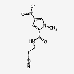 Cn1cc([N+](=O)[O-])cc1C(=O)NCCC#N